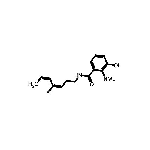 C/C=C\C(F)=C/CCNC(=O)c1cccc(O)c1NC